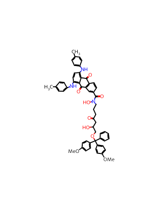 COc1ccc(C(OCC(O)CC(=O)CCCN(O)C(=O)c2ccc3c(c2)C(=O)c2c(Nc4ccc(C)cc4)ccc(Nc4ccc(C)cc4)c2C3=O)(c2ccccc2)c2ccc(OC)cc2)cc1